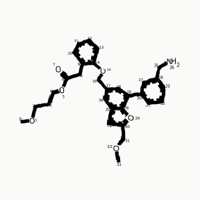 COCCCOC(=O)Cc1ccccc1OCc1cc(-c2cccc(CN)c2)c2oc(COC)cc2c1